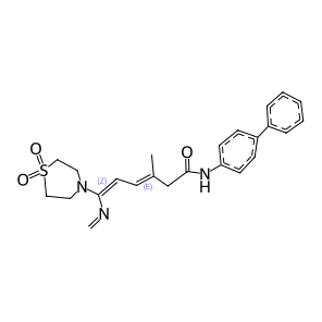 C=N/C(=C\C=C(/C)CC(=O)Nc1ccc(-c2ccccc2)cc1)N1CCS(=O)(=O)CC1